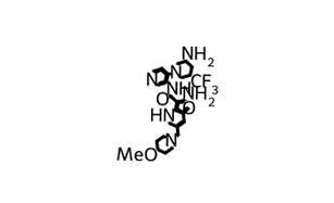 COC1CCN(CC2=Cc3oc(N)c(C(=O)Nc4cnccc4N4C[C@@H](N)C[C@@H](C(F)(F)F)C4)c3NC2)CC1